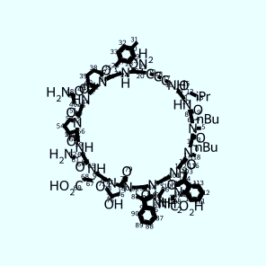 CCCC[C@H]1C(=O)N(C)[C@@H](CCCC)C(=O)N[C@@H](CC(C)C)C(=O)NCCC[C@@H](N)C(=O)N[C@@H](Cc2ccc(C)cc2)C(=O)N2CCCC[C@H]2C(=O)N[C@@H](CC(N)=O)C(=O)N2CCC[C@H]2C(=O)N[C@@H](CN)C(=O)N[C@@H](CCC(=O)O)C(=O)N2C[C@H](O)C[C@@]23C(=O)N3[C@@H](Cc2c[nH]c3ccccc23)C(=O)N[C@@H](CCN)C(=O)N[C@@H](Cc2cn(CC(=O)O)c3ccccc23)C(=O)N1C